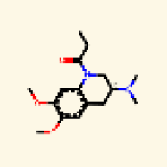 CCC(=O)N1C[C@@H](N(C)C)Cc2cc(OC)c(OC)cc21